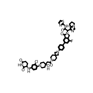 O=C1CCC(Nc2ccc(N3CCC(O)(CC(=O)N4CCC5(CC4)CN(c4ccc(-c6cc(F)c7c(c6)C(=O)N(C(C(=O)Nc6nccs6)c6ncn8c6CCC8)C7)cc4)C5)CC3)c(Cl)c2)C(=O)N1